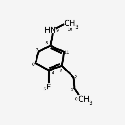 CCCC1=C(F)CCC(NC)=C1